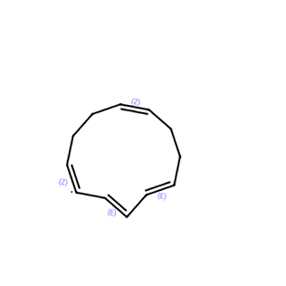 [C]1=C\CC/C=C\CC/C=C/C=C/1